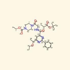 CCOC(=O)N1CCN(C(=O)[C@H](CCC(=O)OC(C)(C)C)NC(=O)c2cc(C(C)OCC)nc(-c3ccccc3)n2)CC1